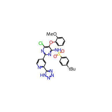 COc1ccccc1Oc1c(Cl)nc(-c2ccnc(-c3nnn[nH]3)c2)nc1NS(=O)(=O)c1ccc(C(C)(C)C)cc1